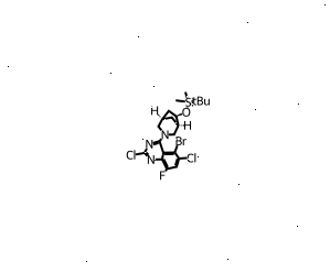 CC(C)(C)[Si](C)(C)O[C@@H]1C[C@H]2C[C@@H]1CN(c1nc(Cl)nc3c(F)cc(Cl)c(Br)c13)C2